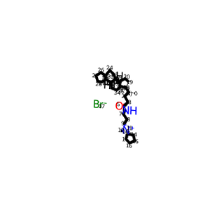 C[C@H](CCC(=O)NCCC[N+](C)(C)C1CCCC1)[C@H]1CC[C@H]2[C@@H]3CCC4CCCC[C@]4(C)[C@H]3CC[C@]12C.[Br-]